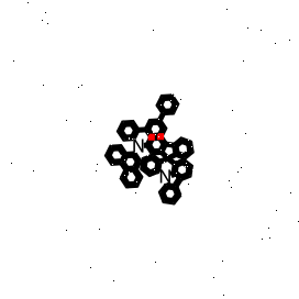 c1ccc(-c2cccc(-c3ccccc3N(c3ccc4c(c3)C3(c5ccccc5-4)c4ccccc4-n4c5ccccc5c5cccc3c54)c3cc4ccccc4c4ccccc34)c2)cc1